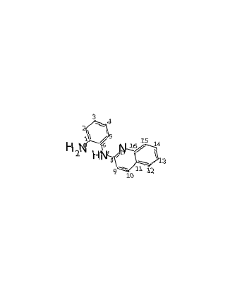 Nc1ccccc1Nc1ccc2ccccc2n1